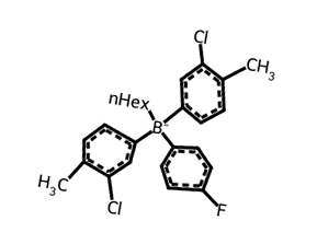 CCCCCC[B-](c1ccc(F)cc1)(c1ccc(C)c(Cl)c1)c1ccc(C)c(Cl)c1